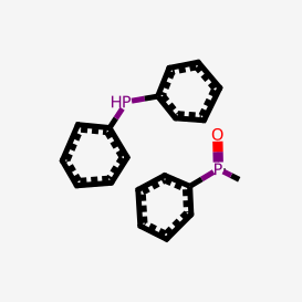 C[P](=O)c1ccccc1.c1ccc(Pc2ccccc2)cc1